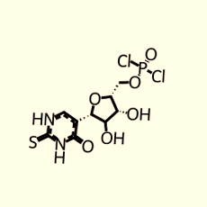 O=c1[nH]c(=S)[nH]cc1[C@@H]1O[C@H](COP(=O)(Cl)Cl)[C@H](O)C1O